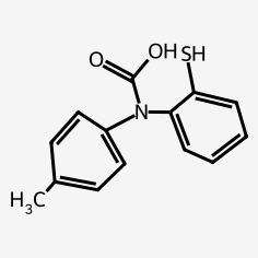 Cc1ccc(N(C(=O)O)c2ccccc2S)cc1